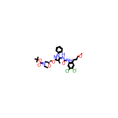 COCCCc1cc(Cl)c(Cl)cc1NC(=O)Nc1c(C)c(OC[C@@H]2CN(C(=O)OC(C)(C)C)CCO2)nn1-c1ccccc1